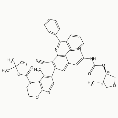 Cc1c(-c2cc3cc(NC(=O)O[C@H]4COC[C@@H]4C)ncc3c(N=C(c3ccccc3)c3ccccc3)c2C#N)cnc2c1N(C(=O)OC(C)(C)C)CCO2